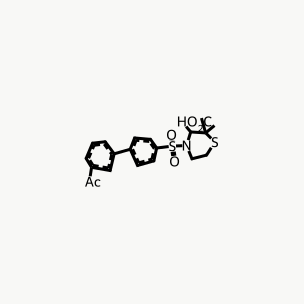 CC(=O)c1cccc(-c2ccc(S(=O)(=O)N3CCSC(C)(C)C3C(=O)O)cc2)c1